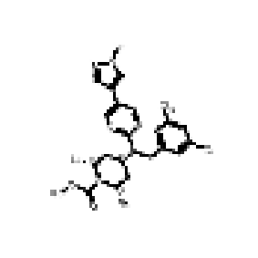 CC[C@@H]1C[C@@H](N(Cc2cc(Cl)cc(C(F)(F)F)c2)c2ncc(-c3cnn(C(C)C)c3)cn2)C[C@H](CC)N1C(=O)OC(C)C